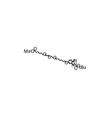 COC(=O)CCCCCOCCOCCOCCCCCCOc1ccc(F)c([C@@H](C)NC(=O)OC(C)(C)C)c1